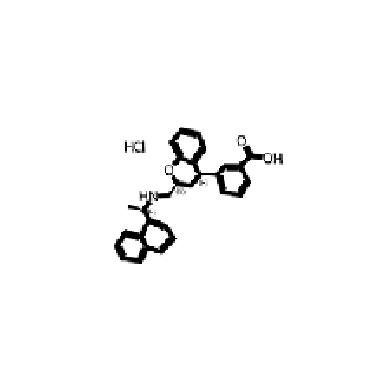 C[C@@H](NC[C@@H]1C[C@H](c2cccc(C(=O)O)c2)c2ccccc2O1)c1cccc2ccccc12.Cl